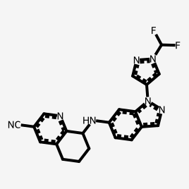 N#Cc1cnc2c(c1)CCCC2Nc1ccc2cnn(-c3cnn(C(F)F)c3)c2c1